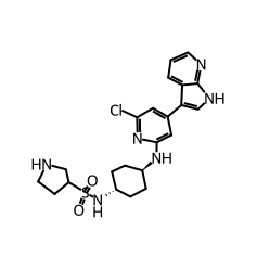 O=S(=O)(N[C@H]1CC[C@H](Nc2cc(-c3c[nH]c4ncccc34)cc(Cl)n2)CC1)C1CCNC1